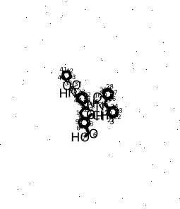 COc1cc(C(=O)O)ccc1Cc1cn(C(=O)NC(c2ccccc2)c2ccccc2)c2ccc(NC(=O)OC3CCCC3)cc12